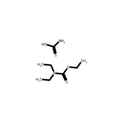 CCOC(=S)N(CC)CC.NC(O)=S